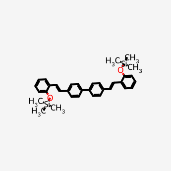 C[Si](C)(C)Oc1ccccc1/C=C/c1ccc(-c2ccc(/C=C/c3ccccc3O[Si](C)(C)C)cc2)cc1